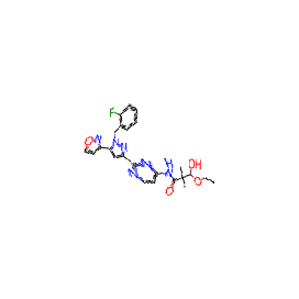 CCOC(O)C(C)(C)C(=O)Nc1ccnc(-c2cc(-c3ccon3)n(Cc3ccccc3F)n2)n1